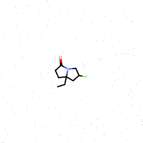 CCC12CCC(=O)N1CC(F)C2